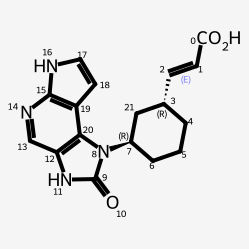 O=C(O)/C=C/[C@@H]1CCC[C@@H](n2c(=O)[nH]c3cnc4[nH]ccc4c32)C1